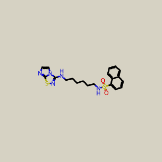 O=S(=O)(NCCCCCCNc1nsc2nccn12)c1cccc2ccccc12